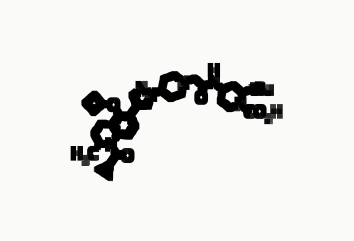 C[C@H]1CCc2c(ccc(-c3cnn(C4CCN(CC(=O)NC5CCN(C(=O)O)C(C(C)(C)C)C5)CC4)c3)c2OC2CCC2)N1C(=O)C1CC1